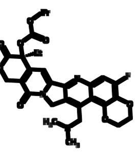 CC[C@@]1(OC(=O)OC(C)C)C(=O)OCc2c1cc1n(c2=O)Cc2c-1nc1cc(F)c3c(c1c2CN(C)C)OCCO3